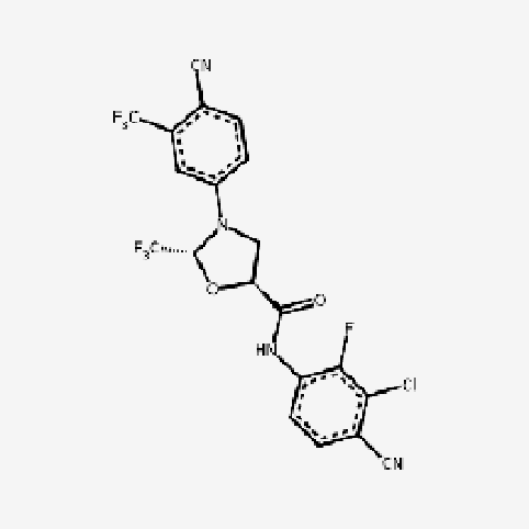 N#Cc1ccc(N2C[C@@H](C(=O)Nc3ccc(C#N)c(Cl)c3F)O[C@@H]2C(F)(F)F)cc1C(F)(F)F